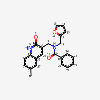 Cc1ccc2[nH]c(=O)c(CN(Cc3ccco3)C(=O)c3ccccc3)cc2c1